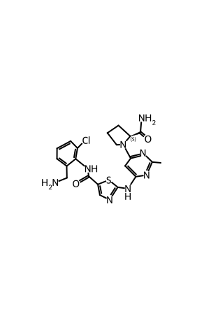 Cc1nc(Nc2ncc(C(=O)Nc3c(Cl)cccc3CN)s2)cc(N2CCC[C@H]2C(N)=O)n1